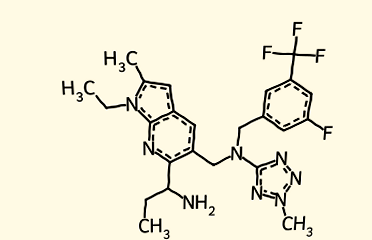 CCC(N)c1nc2c(cc1CN(Cc1cc(F)cc(C(F)(F)F)c1)c1nnn(C)n1)cc(C)n2CC